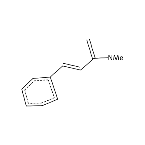 C=C(/C=C/c1ccccc1)NC